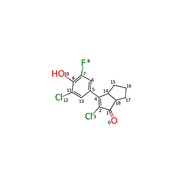 O=C1C(Cl)=C(c2cc(F)c(O)c(Cl)c2)C2CCCC12